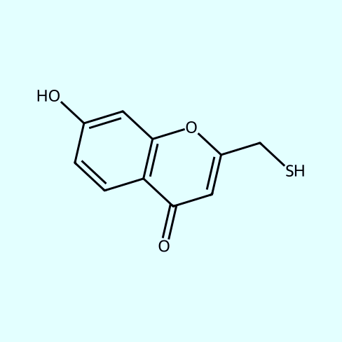 O=c1cc(CS)oc2cc(O)ccc12